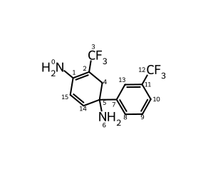 NC1=C(C(F)(F)F)CC(N)(c2cccc(C(F)(F)F)c2)C=C1